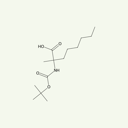 CCCCCCC(C)(NC(=O)OC(C)(C)C)C(=O)O